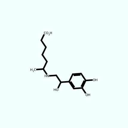 CC(CCCCC(=O)O)NCC(O)c1ccc(O)c(O)c1